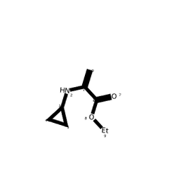 C=C(NC1CC1)C(=O)OCC